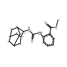 COC(=O)c1ccccc1NC(=O)NC1C2CC3CC(C2)CC1C3